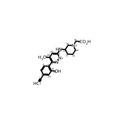 C#Cc1ccc(-c2nnc(NC3CCCN(CC(=O)O)C3)cc2C)c(O)c1